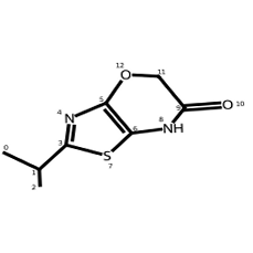 CC(C)c1nc2c(s1)NC(=O)CO2